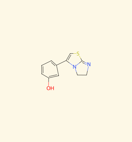 Oc1cccc(C2=CSC3=NCCN23)c1